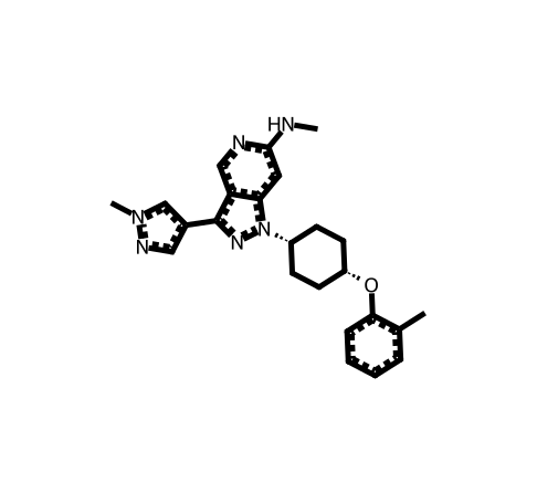 CNc1cc2c(cn1)c(-c1cnn(C)c1)nn2[C@H]1CC[C@@H](Oc2ccccc2C)CC1